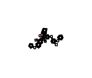 CC(C)(C)OC(=O)NC1CC2CCC(C1)N2C(=O)[C@@H]1C[C@@H](Oc2ccc(Cl)c(Oc3ccccc3)c2)CN1S(=O)(=O)c1ccc2cc(OC3CCCC3)ccc2c1